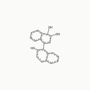 Oc1ccc2ccccc2c1-c1cc(O)c(O)c2ccccc12